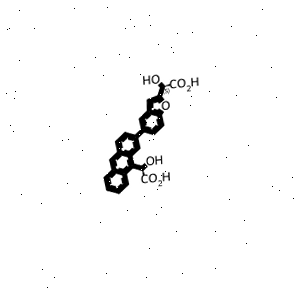 O=C(O)[C@@H](O)c1cc2cc(-c3ccc4cc5ccccc5c([C@H](O)C(=O)O)c4c3)ccc2o1